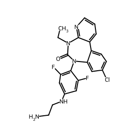 CCN1C(=O)N(c2c(F)cc(NCCN)cc2F)c2cc(Cl)ccc2-c2cccnc21